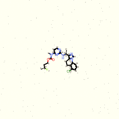 C[C@H](F)CCOC(=O)N(C)c1ccnc(N[C@@H](C)c2ncn3c2CCc2c(Cl)cccc2-3)n1